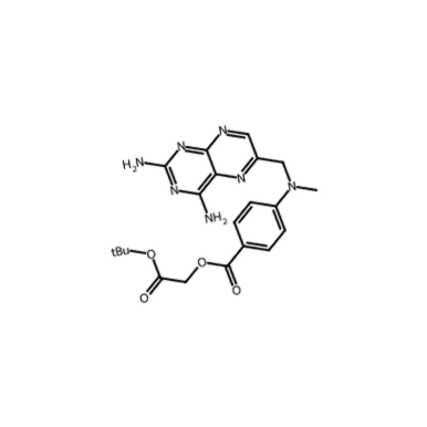 CN(Cc1cnc2nc(N)nc(N)c2n1)c1ccc(C(=O)OCC(=O)OC(C)(C)C)cc1